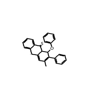 CC1=C(c2ccccc2)C(Oc2ccccc2)C2C(=S)c3ccccc3[CH]C2=C1